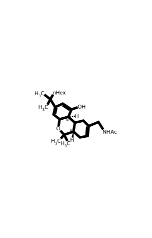 CCCCCCC(C)(C)C1=CC2OC(C)(C)[C@H]3CC=C(CNC(C)=O)CC3[C@@H]2C(O)=C1